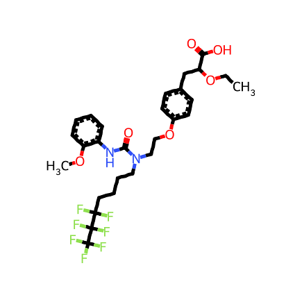 CCOC(Cc1ccc(OCCN(CCCCC(F)(F)C(F)(F)C(F)(F)F)C(=O)Nc2ccccc2OC)cc1)C(=O)O